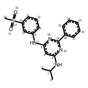 CC(C)Nc1cc(Nc2cccc(S(C)(=O)=O)c2)nc(-c2ccccc2)n1